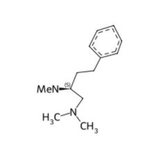 CN[C@@H](CCc1ccccc1)CN(C)C